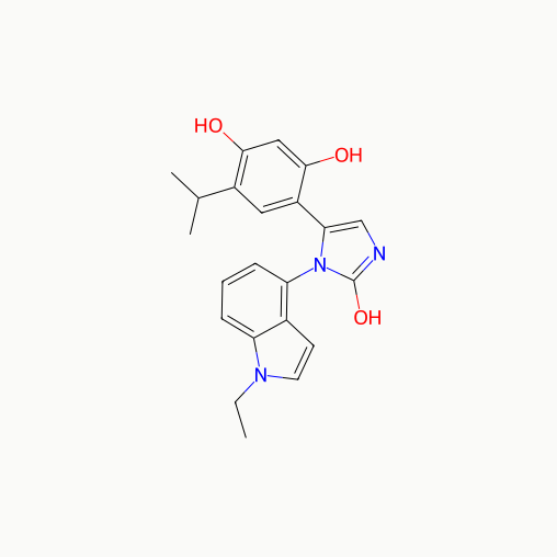 CCn1ccc2c(-n3c(-c4cc(C(C)C)c(O)cc4O)cnc3O)cccc21